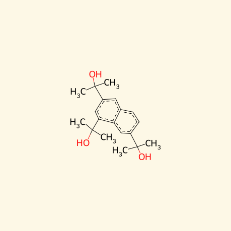 CC(C)(O)c1cc(C(C)(C)O)c2cc(C(C)(C)O)ccc2c1